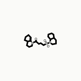 O=C(CCCS(=O)(=O)N1CCCC2CCCCC21)N1CCCC2CCCC=C21